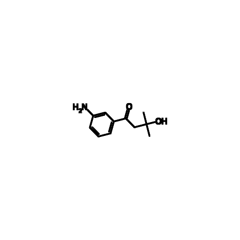 CC(C)(O)CC(=O)c1cccc(N)c1